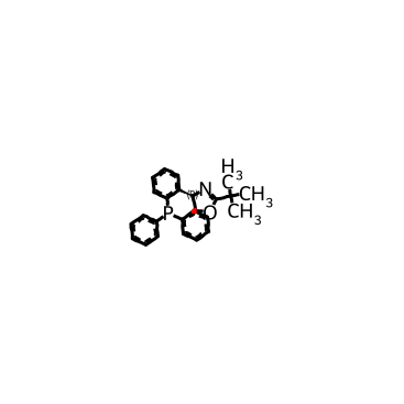 CC(C)(C)C1=N[C@H](c2ccccc2P(c2ccccc2)c2ccccc2)CO1